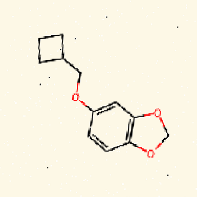 c1cc2c(cc1OCC1CCC1)OCO2